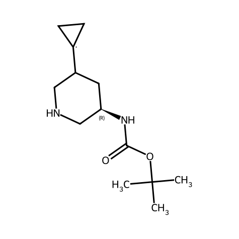 CC(C)(C)OC(=O)N[C@H]1CNCC([C]2CC2)C1